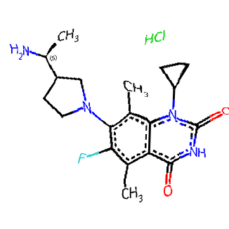 Cc1c(F)c(N2CCC([C@H](C)N)C2)c(C)c2c1c(=O)[nH]c(=O)n2C1CC1.Cl